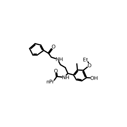 CCCC(=O)NC(CCNCC(=O)c1ccccc1)c1ccc(O)c(OCC)c1C